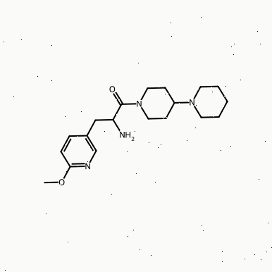 COc1ccc(CC(N)C(=O)N2CCC(N3CCCCC3)CC2)cn1